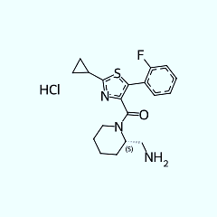 Cl.NC[C@@H]1CCCCN1C(=O)c1nc(C2CC2)sc1-c1ccccc1F